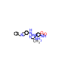 CC1=CN=C(Nc2ccc3c(c2)CN(CC2CC4CCC2C4)C3)NC1(N)c1ccc2oc(=O)[nH]c2c1